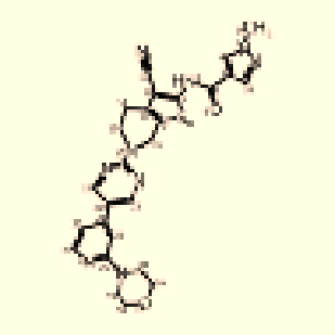 Cn1cc(C(=O)Nc2sc3c(c2C#N)CCN(c2ncc(-c4ccnc(N5CCOCC5)c4)cn2)C3)cn1